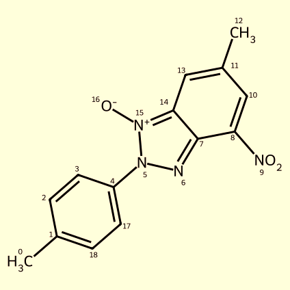 Cc1ccc(-n2nc3c([N+](=O)[O-])cc(C)cc3[n+]2[O-])cc1